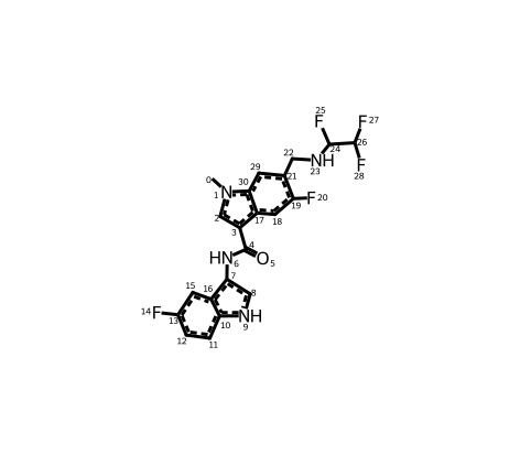 Cn1cc(C(=O)Nc2c[nH]c3ccc(F)cc23)c2cc(F)c(CNC(F)C(F)F)cc21